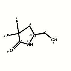 O=C1N[C@H](CO)CC1(F)F